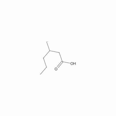 [CH2]C(CCC)CC(=O)O